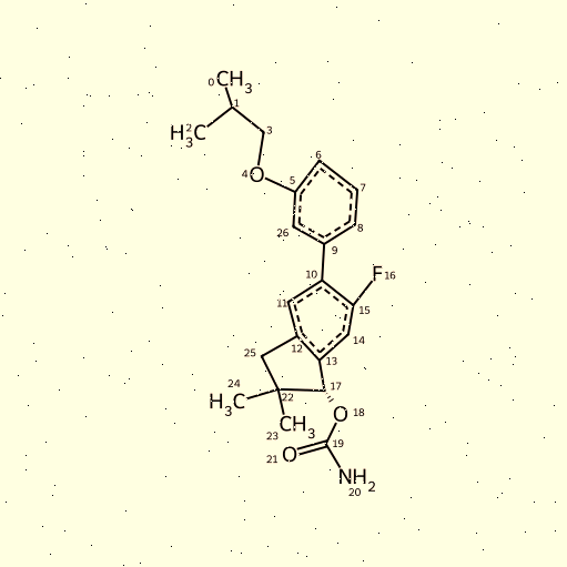 CC(C)COc1cccc(-c2cc3c(cc2F)[C@H](OC(N)=O)C(C)(C)C3)c1